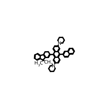 CC1(C)C2=C(CCC(c3c4cc(N5CCCCC5)ccc4c(-c4ccc5ccccc5c4)c4cc(N5CCCCC5)ccc34)=C2)c2ccccc21